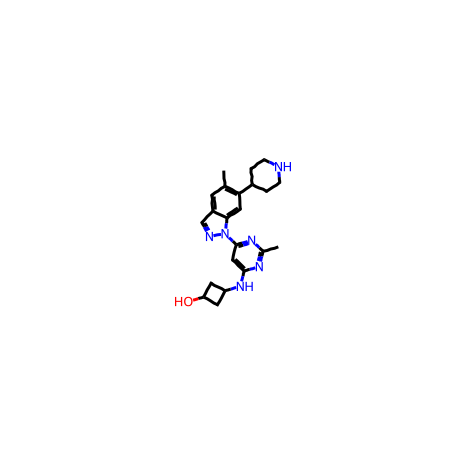 Cc1nc(NC2CC(O)C2)cc(-n2ncc3cc(C)c(C4CCNCC4)cc32)n1